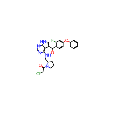 O=C(c1ccc(Oc2ccccc2)cc1F)c1c[nH]c2ncnc(NCC3CCCN3C(=O)CCl)c12